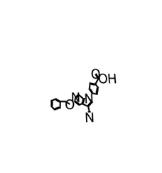 N#Cc1cn(-c2ccc(C(=O)O)cc2)c2cnc(OCc3ccccc3)cc12